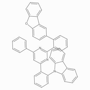 c1ccc(-c2cc(-c3ccccc3-n3c4ccccc4c4ccccc43)nc(-c3ccccc3-c3ccc4oc5ccccc5c4c3)n2)cc1